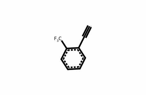 [C]#Cc1ccccc1C(F)(F)F